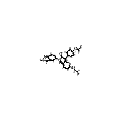 Cn1cc2cc(-n3nc4ccc(OCCF)nc4c(-c4ccc(OC(F)F)cc4)c3=O)ccc2n1